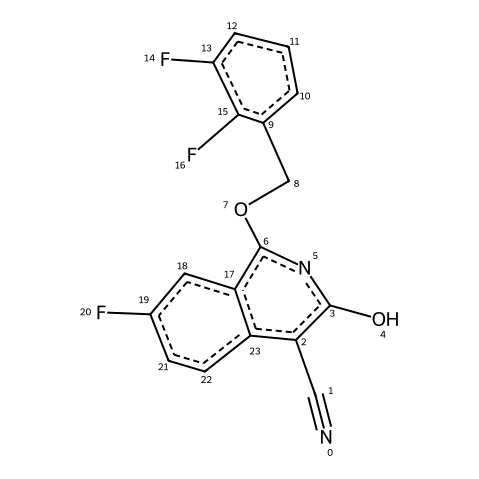 N#Cc1c(O)nc(OCc2cccc(F)c2F)c2cc(F)ccc12